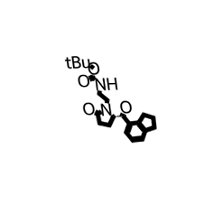 CC(C)(C)OC(=O)NCCN1C(=O)CC[C@H]1C(=O)c1cccc2c1CCC2